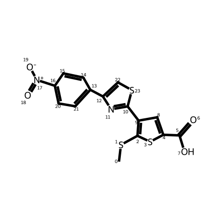 CSc1sc(C(=O)O)cc1-c1nc(-c2ccc([N+](=O)[O-])cc2)cs1